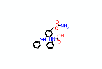 NC(=O)OCc1ccc(N=Nc2ccccc2)cc1.O=C(O)Nc1ccccc1